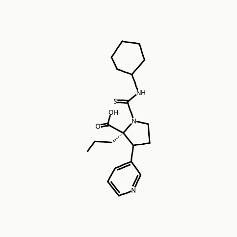 CCC[C@@]1(C(=O)O)C(c2cccnc2)CCN1C(=S)NC1CCCCC1